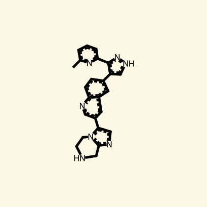 Cc1cccc(-c2n[nH]cc2-c2ccc3ncc(-c4cnc5n4CCNC5)cc3c2)n1